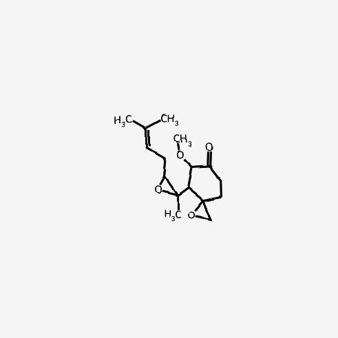 COC1C(=O)CCC2(CO2)C1C1(C)OC1CC=C(C)C